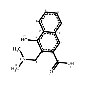 CN(C)Cc1c(C(=O)O)cc2ccccc2c1O